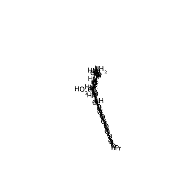 CCCOCCOCCOCCOCCOCCOCCOCCOCCOCCC(=O)NCCNC(=O)CC[C@H](NC(=O)c1ccc(NCc2cnc3nc(N)[nH]c(=O)c3n2)cc1)C(=O)O